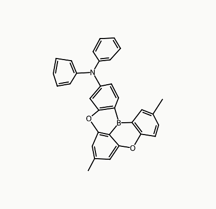 Cc1cc2c3c(c1)Oc1ccc(C)cc1B3c1ccc(N(c3ccccc3)c3ccccc3)cc1O2